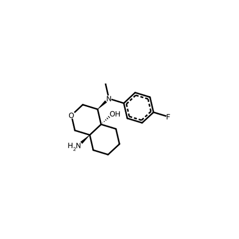 CN(c1ccc(F)cc1)[C@@H]1COC[C@@]2(N)CCCC[C@]12O